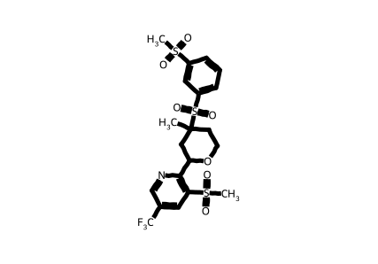 CC1(S(=O)(=O)c2cccc(S(C)(=O)=O)c2)CCOC(c2ncc(C(F)(F)F)cc2S(C)(=O)=O)C1